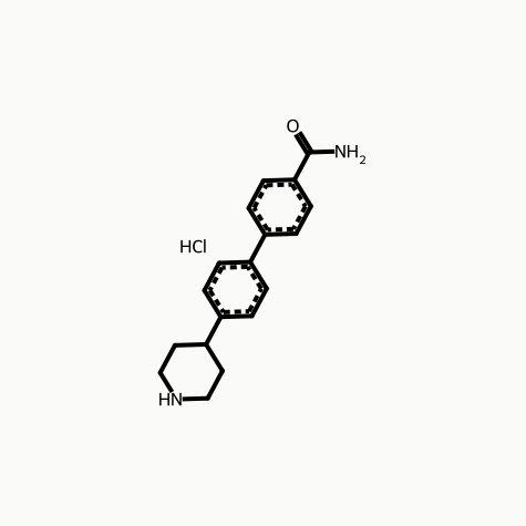 Cl.NC(=O)c1ccc(-c2ccc(C3CCNCC3)cc2)cc1